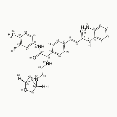 Nc1ccccc1NC(=O)C=Cc1ccc(C(NCCN2C[C@@H]3C[C@H]2CO3)C(=O)Nc2ccc(C(F)(F)F)c(F)c2)cc1